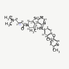 Cc1ccc(Oc2ccc(Nc3ncnc4sc5c(c34)C(C)CN(C(=O)/C=C/CN(C)C)C5)cc2C)cn1